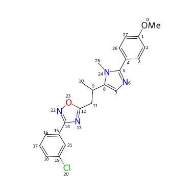 COc1ccc(-c2ncc(C(C)Cc3nc(-c4cccc(Cl)c4)no3)n2C)cc1